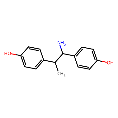 CC(c1ccc(O)cc1)C(N)c1ccc(O)cc1